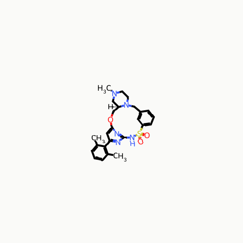 Cc1cccc(C)c1-c1cc2nc(n1)NS(=O)(=O)c1cccc(c1)CN1CCN(C)C[C@@H]1CO2